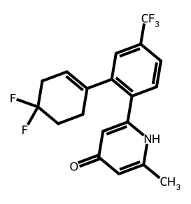 Cc1cc(=O)cc(-c2ccc(C(F)(F)F)cc2C2=CCC(F)(F)CC2)[nH]1